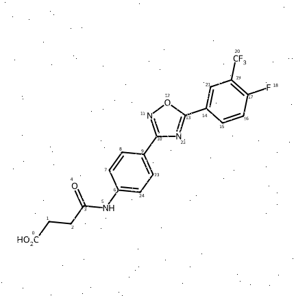 O=C(O)CCC(=O)Nc1ccc(-c2noc(-c3ccc(F)c(C(F)(F)F)c3)n2)cc1